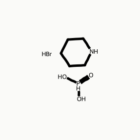 Br.C1CCNCC1.O=[PH](O)O